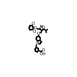 CC(C)c1onc(COc2c(Cl)cccc2Cl)c1COc1ccc2c(ccn2Cc2cccc(C(=O)O)c2)c1